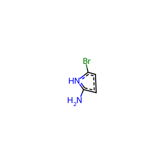 Nc1ccc(Br)[nH]1